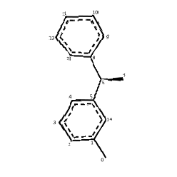 Cc1cccc([C@H](C)c2ccccc2)c1